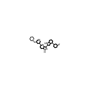 Fc1cccc(-c2cccc3[nH]c(-c4n[nH]c5ccc(-c6cncc(CN7CCCCC7)c6)nc45)cc23)c1